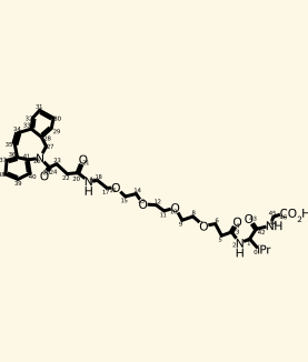 CC(C)C(NC(=O)CCOCCOCCOCCOCCNC(=O)CCC(=O)N1Cc2ccccc2C#Cc2ccccc21)C(=O)NCC(=O)O